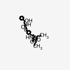 CCCn1c(=O)c2[nH]c(-c3ccc(OCC(=O)NCC(O)c4ccccc4)cc3)cc2n(CCC)c1=O